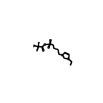 CCN1C=CN(CCCCS(=O)(=O)OC(=O)C(F)(F)F)C1